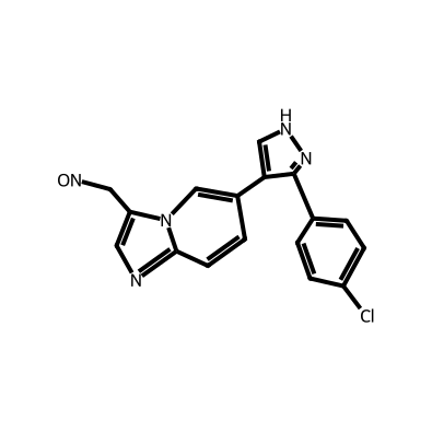 O=NCc1cnc2ccc(-c3c[nH]nc3-c3ccc(Cl)cc3)cn12